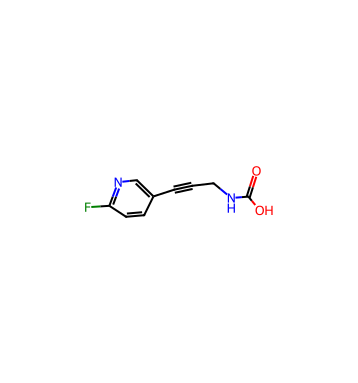 O=C(O)NCC#Cc1ccc(F)nc1